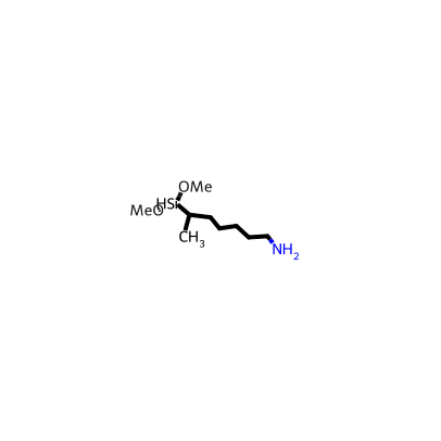 CO[SiH](OC)C(C)CCCCCN